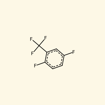 Fc1ccc(F)c(C(F)(F)F)c1